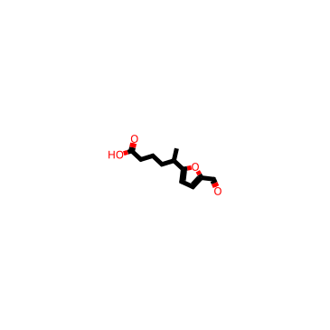 CC(CCCC(=O)O)c1ccc(C=O)o1